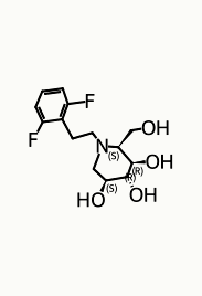 OC[C@H]1[C@@H](O)[C@H](O)[C@@H](O)CN1CCc1c(F)cccc1F